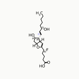 CCCCC[C@H](O)/C=C/[C@@H]1[C@H]2C=C([C@H](F)CCCC(=O)O)O[C@H]2C[C@H]1O